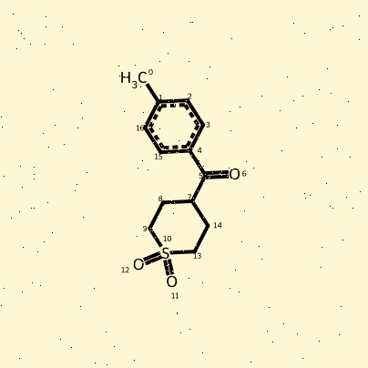 Cc1ccc(C(=O)C2CCS(=O)(=O)CC2)cc1